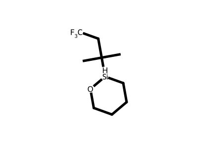 CC(C)(CC(F)(F)F)[SiH]1CCCCO1